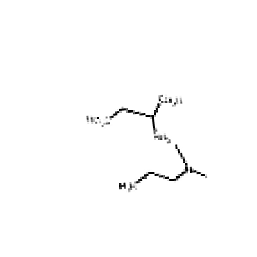 CN(C)CCN.NC(CC(=O)O)C(=O)O